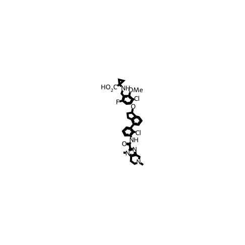 COc1c(Cl)c(OC2CCc3c(-c4cccc(NC(=O)c5nc6c(n5C)CCN(C)C6)c4Cl)cccc32)cc(F)c1CNC1(C(=O)O)CC1